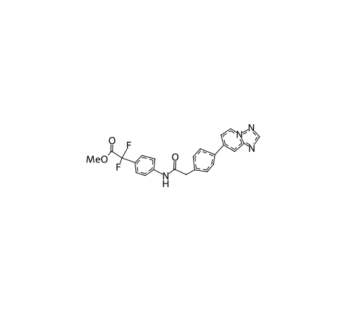 COC(=O)C(F)(F)c1ccc(NC(=O)Cc2ccc(-c3ccn4ncnc4c3)cc2)cc1